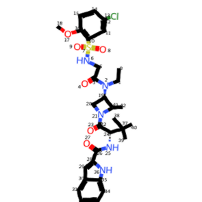 CCN(C(=O)CNS(=O)(=O)c1cc(Cl)ccc1OC)[C@@H]1CN(C(=O)[C@@H](NC(=O)c2cc3ccccc3[nH]2)C(C)(C)C)C1C